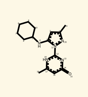 Cc1cc(NC2CCCCC2)n(-c2nc(=O)cc(C)[nH]2)n1